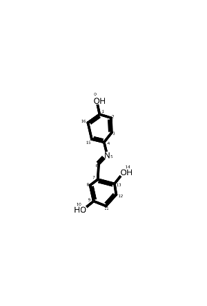 Oc1ccc(N=Cc2cc(O)ccc2O)cc1